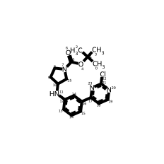 CC(C)(C)OC(=O)N1CCC(Nc2cccc(-c3ccnc(Cl)n3)c2)C1